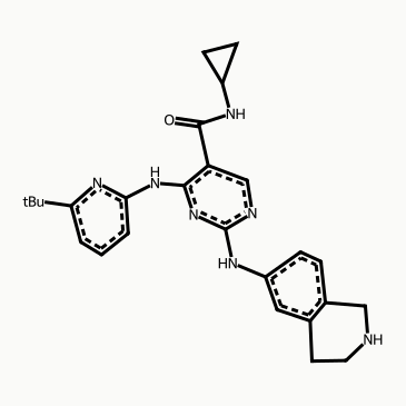 CC(C)(C)c1cccc(Nc2nc(Nc3ccc4c(c3)CCNC4)ncc2C(=O)NC2CC2)n1